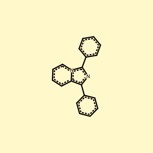 c1ccc(-c2nc(-c3ccccc3)n3ccccc23)cc1